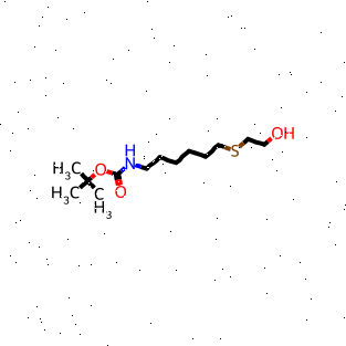 CC(C)(C)OC(=O)NCCCCCCSCCO